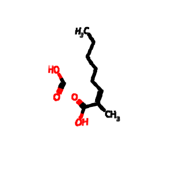 CCCCCC=C(C)C(=O)O.O=CO